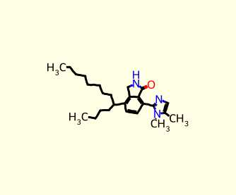 CCCCCCCCC(CCCC)c1ccc(-c2ncc(C)n2C)c2c1CNC2=O